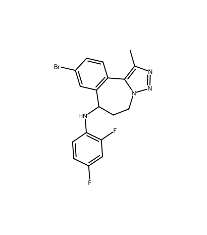 Cc1nnn2c1-c1ccc(Br)cc1C(Nc1ccc(F)cc1F)CC2